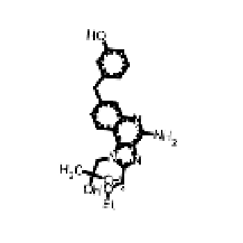 CCOCc1nc2c(N)nc3cc(Cc4cccc(O)c4)ccc3c2n1CC(C)(C)O